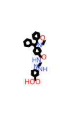 O=C(O)c1ccc2nc(CNC(=O)c3ccc4c(C5CCCCC5)c5n(c4c3)CCOc3ccccc3-5)[nH]c2c1